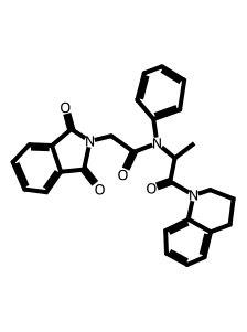 CC(C(=O)N1CCCc2ccccc21)N(C(=O)CN1C(=O)c2ccccc2C1=O)c1ccccc1